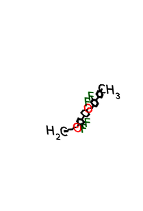 C=CCCCOc1ccc(C2CCC(OCc3ccc(-c4ccc(C)cc4)c(F)c3F)CC2)c(F)c1F